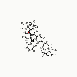 CC1(C)OC2(CCCC2)c2ccc(-c3ccc(-c4ccc5c(c4)C(C)(C)OC54CCCC4)c(N(c4ccccc4)c4ccccc4)c3)cc21